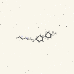 C/C=C/C=C/COc1ccc(-c2ccc(CCC)cc2)cc1